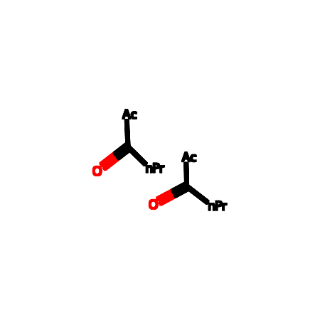 CCCC(=O)C(C)=O.CCCC(=O)C(C)=O